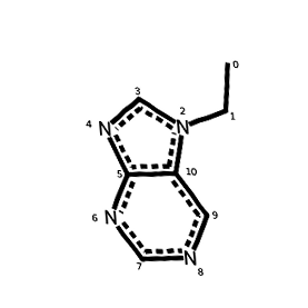 CCn1cnc2ncncc21